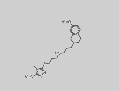 CNc1nnc(SCCCNCCCC2CCc3ccc(OC)cc3C2)n1C